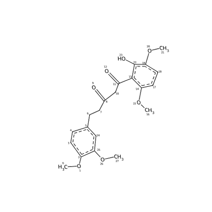 COc1ccc(CCC(=O)CC(=O)c2c(OC)ccc(OC)c2O)cc1OC